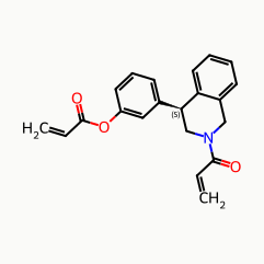 C=CC(=O)Oc1cccc([C@@H]2CN(C(=O)C=C)Cc3ccccc32)c1